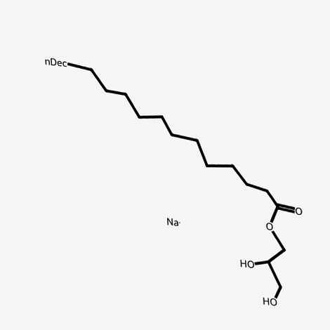 CCCCCCCCCCCCCCCCCCCCCC(=O)OCC(O)CO.[Na]